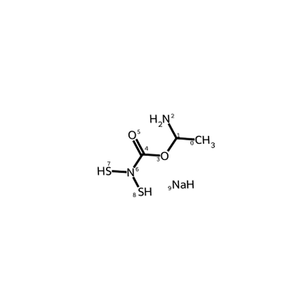 CC(N)OC(=O)N(S)S.[NaH]